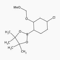 COCOC1CC(Cl)CCC1B1OC(C)(C)C(C)(C)O1